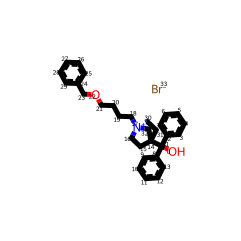 OC(c1ccccc1)(c1ccccc1)C12CC[N+](CCCCOCc3ccccc3)(CC1)C2.[Br-]